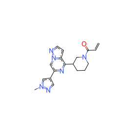 C=CC(=O)N1CCCC(c2nc(-c3cnn(C)c3)cn3nccc23)C1